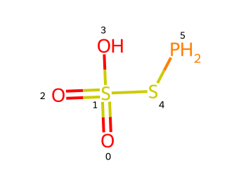 O=S(=O)(O)SP